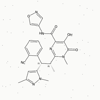 Cc1cc([C@H](c2ccccc2C#N)[C@@H](C)c2nc(C(=O)Nc3cnoc3)c(O)c(=O)n2C)n(C)n1